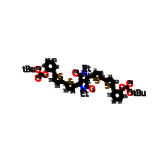 CCN1C(=O)C2=C(c3ccc(-c4ccc(-c5ccccc5OC(=O)OC(C)(C)C)s4)s3)N(CC)C(=O)C2=C1c1ccc(-c2ccc(-c3ccccc3OC(=O)OC(C)(C)C)s2)s1